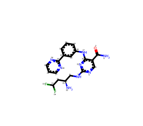 NC(=O)c1cnc(NC[C@@H](N)CC(F)F)nc1Nc1cccc(-c2ncccn2)c1